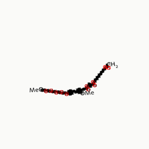 C=CC(=O)OCCCCCCCCCCCOC(=O)C1CC(OC(=O)C#Cc2ccc(CCc3ccc(OCCOCCOCCOCCOCCOC)cc3)cc2OC)C1